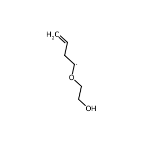 C=CC[CH]OCCO